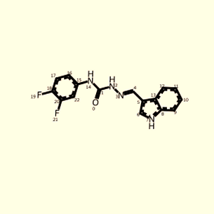 O=C(NN=Cc1c[nH]c2ccccc12)Nc1ccc(F)c(F)c1